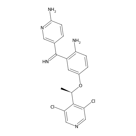 C[C@@H](Oc1ccc(N)c(C(=N)c2ccc(N)nc2)c1)c1c(Cl)cncc1Cl